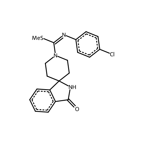 CS/C(=N/c1ccc(Cl)cc1)N1CCC2(CC1)NC(=O)c1ccccc12